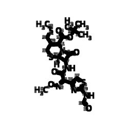 CO/N=C(\C(=O)NC1C(=O)N2C(C(=O)OC(C)(C)C)=C(CSC)CS[C@H]12)c1csc(NC=O)n1